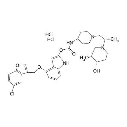 C[C@H]1CN([C@@H](C)CN2CCC(NC(=O)Oc3cc4c(OCc5coc6ccc(Cl)cc56)cccc4[nH]3)CC2)CC[C@@H]1O.Cl.Cl